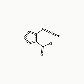 [N-]=[N+]=Nc1ccsc1C(=O)Cl